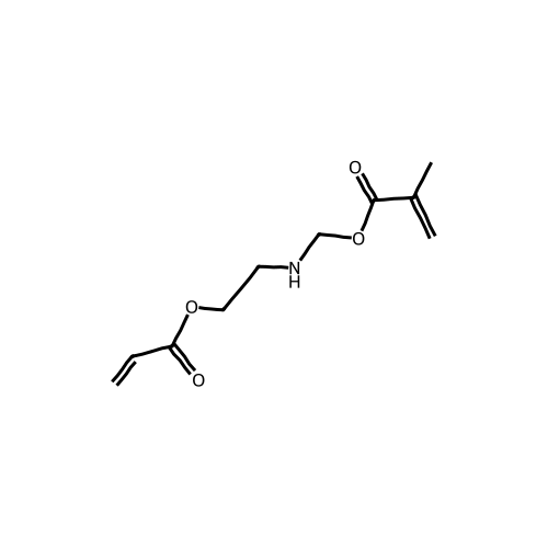 C=CC(=O)OCCNCOC(=O)C(=C)C